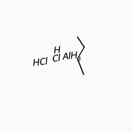 CCCC.Cl.Cl.[AlH3]